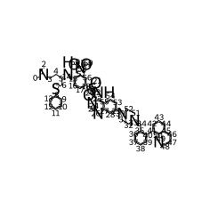 CN(C)CCC(CSc1ccccc1)Nc1ccc(S(=O)(=O)Nc2ncnc3cc(N4CCN(Cc5ccccc5-c5cccc6cccnc56)CC4)ccc23)cc1[N+](=O)[O-]